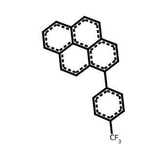 FC(F)(F)c1ccc(-c2ccc3ccc4cccc5ccc2c3c45)cc1